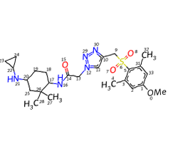 COc1cc(C)c(S(=O)(=O)Cc2cn(CC(=O)NC3CCC(NC4CC4)CC3(C)C)nn2)c(C)c1